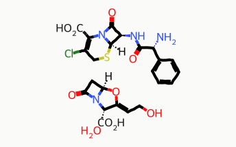 N[C@@H](C(=O)N[C@@H]1C(=O)N2C(C(=O)O)=C(Cl)CS[C@H]12)c1ccccc1.O.O=C(O)[C@H]1/C(=C/CO)O[C@@H]2CC(=O)N21